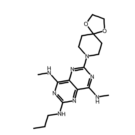 CCCNc1nc(NC)c2nc(N3CCC4(CC3)OCCO4)nc(NC)c2n1